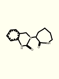 O=C1NCCCCC1N1Cc2ccccc2NC1=O